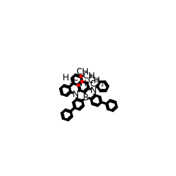 CC1C2=C3B(c4ccc(-c5ccccc5)cc4N(c4ccccc4-c4ccccc4)C3=CC1C(C)(C)C)c1ccc(-c3ccccc3)cc1N2C1(C)C=CC=CC1